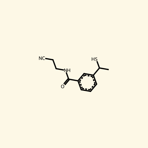 CC(S)c1cccc(C(=O)NCCC#N)c1